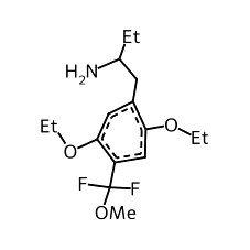 CCOc1cc(C(F)(F)OC)c(OCC)cc1CC(N)CC